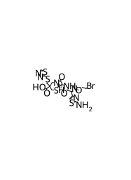 Nc1nc(C(=NOCCBr)C(=O)NC2C(=O)N3CC(CSc4nncs4)(C(=O)O)CS[C@H]23)cs1